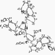 CCCCCCCCc1cc(-c2cc(-c3cc(CCCCCCCC)c(-c4cccc5cc6c(C)cccc6cc45)cc3CCCCCCCC)nc(-c3ccc4ccc5cccnc5c4n3)n2)c(CCCCCCCC)cc1C